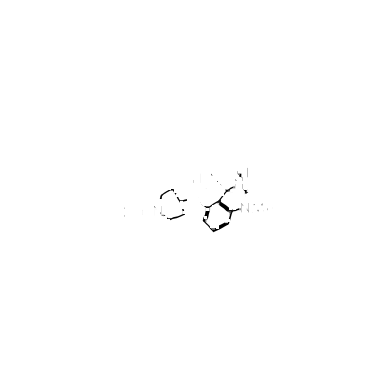 CNc1cccc(OC2CCN(C)CC2)c1[C@@H](N)N(C)C